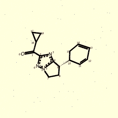 O=C(c1nc2n(n1)CC[C@H]2C1C=CC=CC1)C1CC1